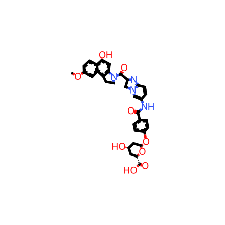 COc1ccc2c(O)cc3c(c2c1)CCN3C(=O)C1CN2C=C(NC(=O)c3ccc(OC4C[C@@H](O)C[C@@H](C(=O)O)O4)cc3)C=CC2=N1